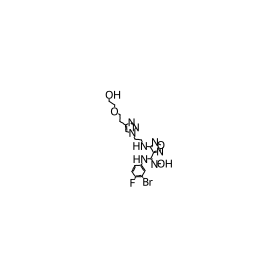 OCCOCCc1cn(CCNc2nonc2C(=NO)Nc2ccc(F)c(Br)c2)nn1